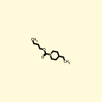 [CH2]CC1CCN(C(=O)OCCCC)CC1